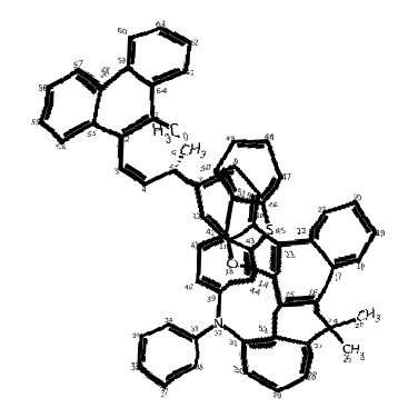 Cc1c(/C=C\[C@H](C)c2ccc3c(c2)oc2c4c(c5ccccc5c23)C(C)(C)c2cccc(N(c3ccccc3)c3ccc5c(c3)sc3ccccc35)c2-4)c2ccccc2c2ccccc12